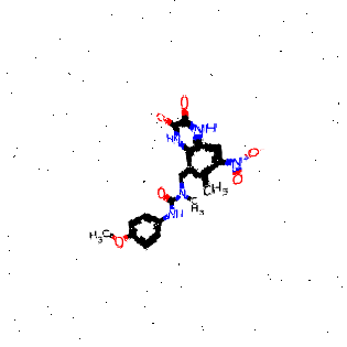 COc1ccc(NC(=O)N(C)Cc2c(C)c([N+](=O)[O-])cc3[nH]c(=O)c(=O)[nH]c23)cc1